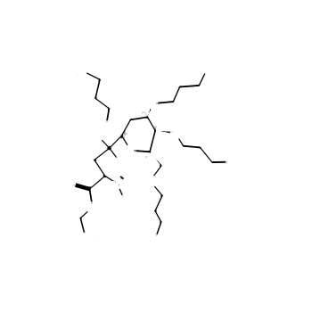 CCCCOC[C@H]1O[C@@](OCCCC)(C(F)(F)CC(C(=O)OCC)[N+](=O)[O-])C[C@@H](OCCCC)[C@H]1OCCCC